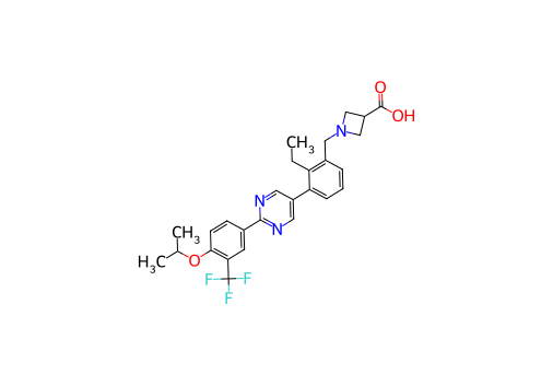 CCc1c(CN2CC(C(=O)O)C2)cccc1-c1cnc(-c2ccc(OC(C)C)c(C(F)(F)F)c2)nc1